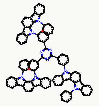 c1ccc(-n2c3ccccc3c3ccc4c(c5ccccc5n4-c4cccc(-c5nc(-c6cccc(-n7c8ccccc8c8ccc9c%10ccccc%10n(-c%10ccccc%10)c9c87)c6)nc(-c6cccc(-n7c8ccccc8c8ccc9c%10ccccc%10n(-c%10ccccc%10)c9c87)c6)n5)c4)c32)cc1